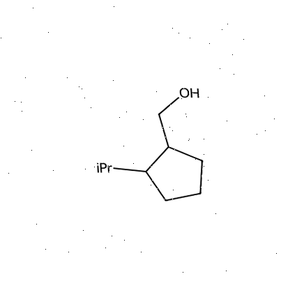 CC(C)C1CCCC1CO